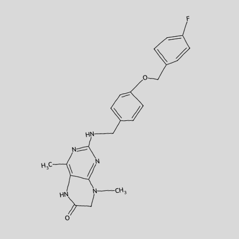 Cc1nc(NCc2ccc(OCc3ccc(F)cc3)cc2)nc2c1NC(=O)CN2C